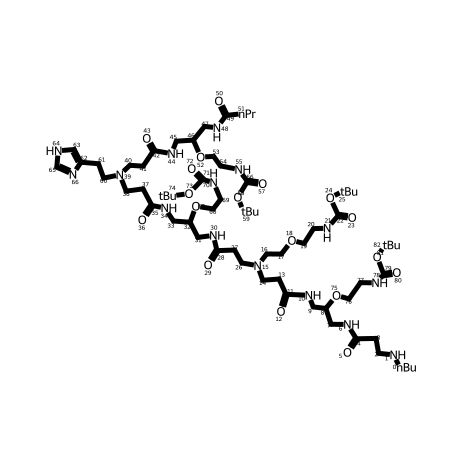 CCCCNCCC(=O)NCC(CNC(=O)CCN(CCOCCNC(=O)OC(C)(C)C)CCC(=O)NCC(CNC(=O)CCN(CCC(=O)NCC(CNC(=O)CCC)OCCNC(=O)OC(C)(C)C)CCc1c[nH]cn1)OCCNC(=O)OC(C)(C)C)OCCNC(=O)OC(C)(C)C